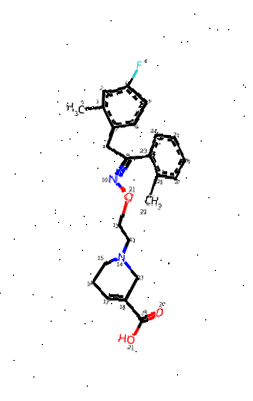 Cc1cc(F)ccc1C/C(=N/OCCN1CCC=C(C(=O)O)C1)c1ccccc1C